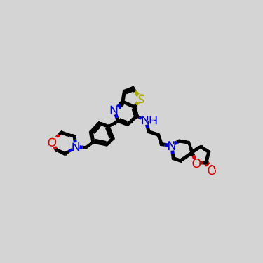 O=C1CCC2(CCN(CCCNc3cc(-c4ccc(CN5CCOCC5)cc4)nc4ccsc34)CC2)O1